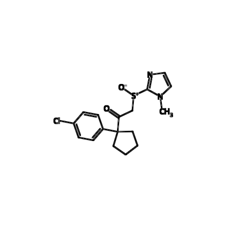 Cn1ccnc1[S+]([O-])CC(=O)C1(c2ccc(Cl)cc2)CCCC1